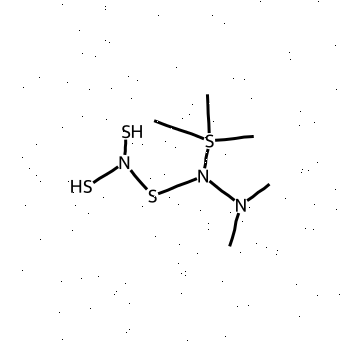 CN(C)N(SN(S)S)S(C)(C)C